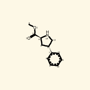 COC(=O)[C@@H]1C[C@@H](c2ccccc2)CN1